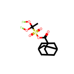 CC(OF)(OF)S(=O)(=O)OC(=O)C12CC3CC(CC(C3)C1)C2